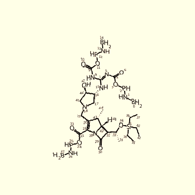 BNPOC(=O)/N=C(/NC(=O)OPNB)N[C@@H]1CN(CC2=C(C(=O)OPNB)N3C(=O)C([C@@H](C)O[Si](CC)(CC)CC)[C@H]3[C@H]2C)C[C@H]1O